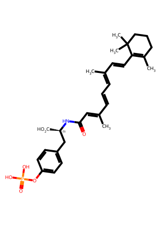 CC(C=CC1=C(C)CCCC1(C)C)=CC=CC(C)=CC(=O)N[C@@H](Cc1ccc(OP(=O)(O)O)cc1)C(=O)O